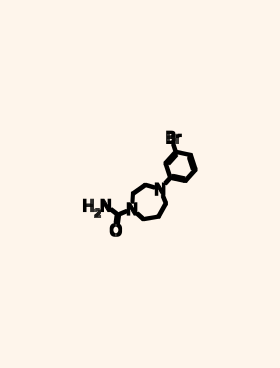 NC(=O)N1CCCN(c2cccc(Br)c2)CC1